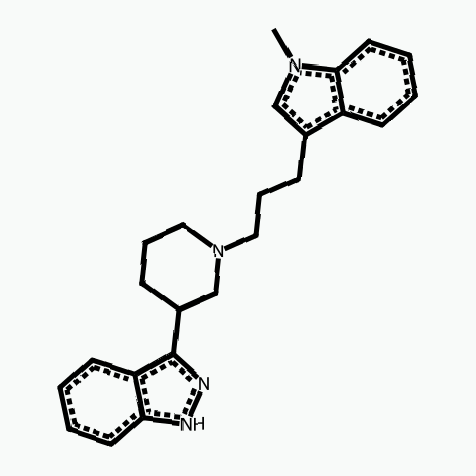 Cn1cc(CCCN2CCCC(c3n[nH]c4ccccc34)C2)c2ccccc21